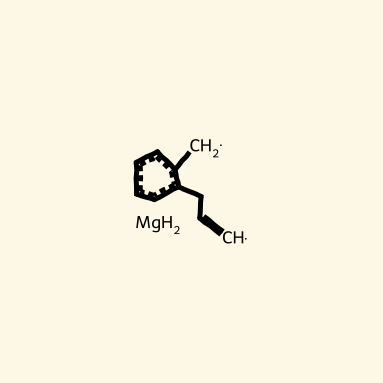 [CH]=CCc1ccccc1[CH2].[MgH2]